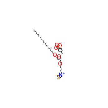 CCCCCCCCCCCCCCCCCCOCC1CC(COCCCCC[n+]2ccsc2)CO1.Cc1ccc(S(=O)(=O)[O-])cc1